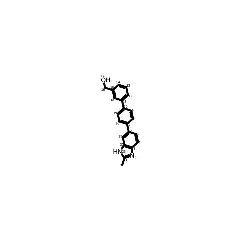 Cc1nc2ccc(-c3ccc(-c4cccc(CO)c4)cc3)cc2[nH]1